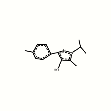 Cc1ccc(-c2nn(C(C)C)c(C)c2O)cc1